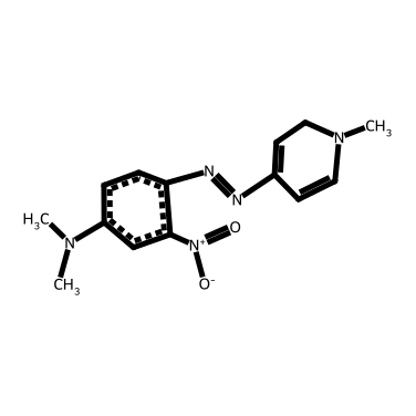 CN1C=CC(N=Nc2ccc(N(C)C)cc2[N+](=O)[O-])=CC1